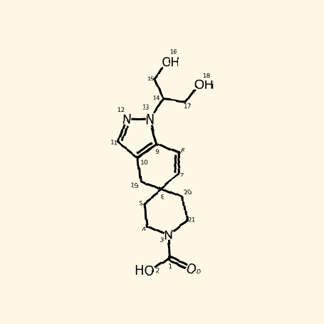 O=C(O)N1CCC2(C=Cc3c(cnn3C(CO)CO)C2)CC1